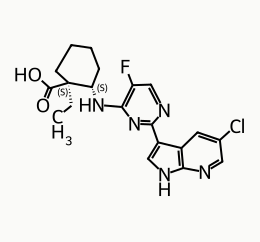 CC[C@]1(C(=O)O)CCCC[C@@H]1Nc1nc(-c2c[nH]c3ncc(Cl)cc23)ncc1F